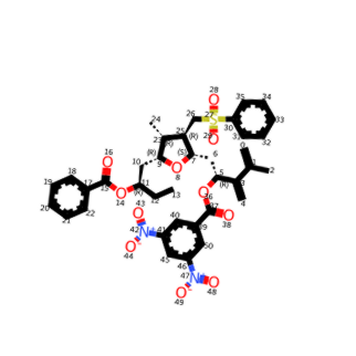 C=C(C)C(=C)[C@@H](C[C@@H]1O[C@H](C[C@@H](CC)OC(=O)c2ccccc2)[C@H](C)[C@H]1CS(=O)(=O)c1ccccc1)OC(=O)c1cc([N+](=O)[O-])cc([N+](=O)[O-])c1